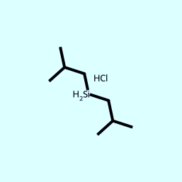 CC(C)C[SiH2]CC(C)C.Cl